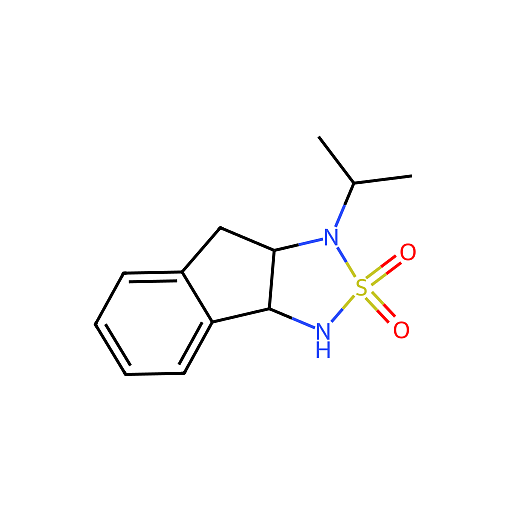 CC(C)N1C2Cc3ccccc3C2NS1(=O)=O